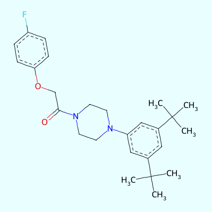 CC(C)(C)c1cc(N2CCN(C(=O)COc3ccc(F)cc3)CC2)cc(C(C)(C)C)c1